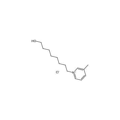 Cc1ccc[n+](CCCCCCCCO)c1.[Cl-]